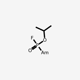 CC(C)O[P](=O)(F)[Am]